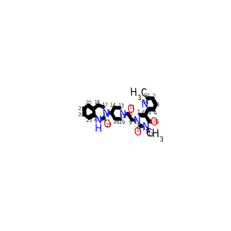 Cc1cccc(-c2cn(CC(=O)N3CCC(N4CCc5ccccc5NC4=O)CC3)c(=O)n(C)c2=O)n1